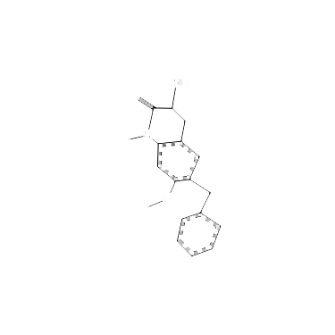 COc1cc2c(cc1Cc1ccccc1)CC(N)C(=O)N2O